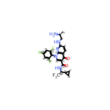 C[C@H](N)CNc1ccc2c(=O)c(C(=O)N[C@@H](C3CC3)C(F)(F)F)cn(-c3c(F)cc(F)cc3F)c2n1